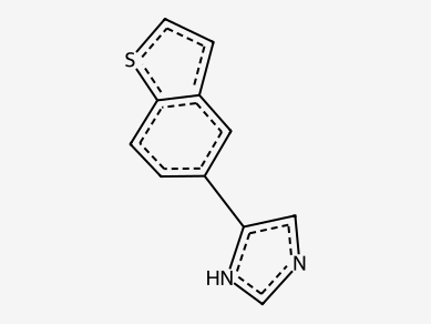 c1ncc(-c2ccc3sccc3c2)[nH]1